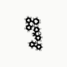 CC1(C)c2cc(N3C4=C(CC=CC=C4)c4ccccc4-c4ccccc43)ccc2Oc2ccc(-n3c4ccccc4c4ccccc43)cc21